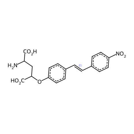 NC(CC(Oc1ccc(/C=C/c2ccc([N+](=O)[O-])cc2)cc1)C(=O)O)C(=O)O